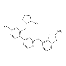 CC1CCCN1Cc1cc(C(F)(F)F)ccc1-c1ccnc(Oc2cccc3sc(N)nc23)c1